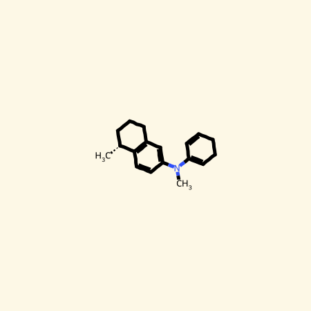 C[C@@H]1CCCc2cc(N(C)C3=CCCC=C3)ccc21